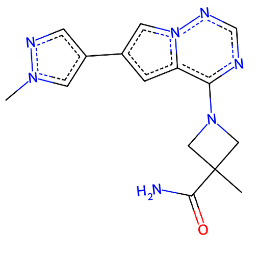 Cn1cc(-c2cc3c(N4CC(C)(C(N)=O)C4)ncnn3c2)cn1